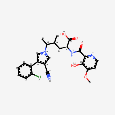 COc1ccnc(C(=O)N[C@@H](CC(C)C(C)n2cc(C#N)c(-c3ccccc3Cl)c2)C(=O)O)c1O